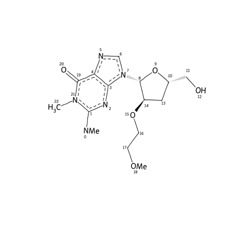 CNc1nc2c(ncn2[C@@H]2O[C@H](CO)C[C@H]2OCCOC)c(=O)n1C